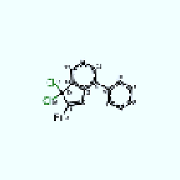 CCC1=Cc2c(-c3ccccc3)cccc2C1(Cl)Cl